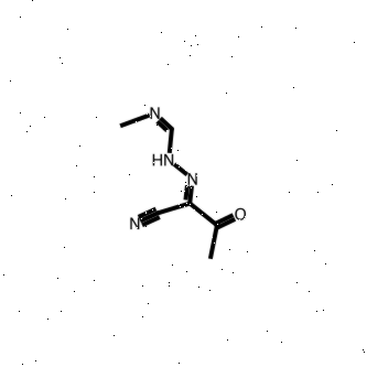 C/N=C\N/N=C(\C#N)C(C)=O